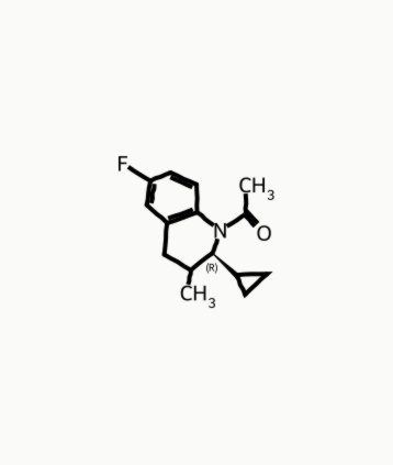 CC(=O)N1c2ccc(F)cc2CC(C)[C@@H]1C1CC1